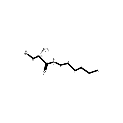 [CH2]CCCCCNC(=O)[C@@H](N)CS